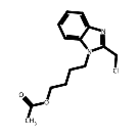 CC(=O)OCCCCn1c(CCl)nc2ccccc21